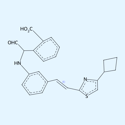 O=CC(Nc1cccc(/C=C/c2nc(C3CCC3)cs2)c1)c1ccccc1C(=O)O